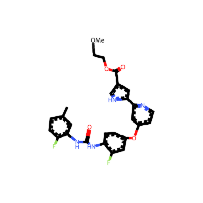 COCCOC(=O)c1c[nH]c(-c2cc(Oc3ccc(NC(=O)Nc4cc(C)ccc4F)c(F)c3)ccn2)c1